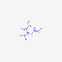 CCNCN(C(C)C)N(C)CC